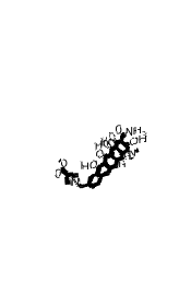 COC(=O)C1CN(Cc2ccc3cc4c(c(O)c3c2)C(=O)C2=C(O)[C@]3(O)C(=O)C(C(N)=O)=C(O)[C@@H](N(C)C)[C@@H]3C[C@@H]2C4)C1